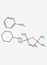 CC1CCCCC1.C[Si](C)(C)O[Si](C)(C)C.Cc1ccccc1